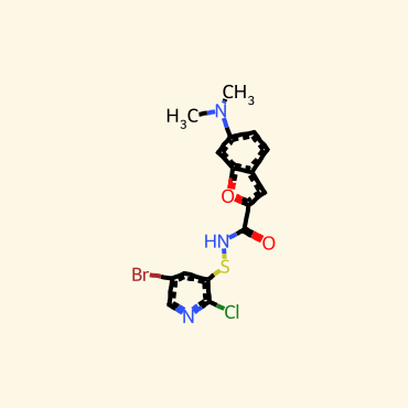 CN(C)c1ccc2cc(C(=O)NSc3cc(Br)cnc3Cl)oc2c1